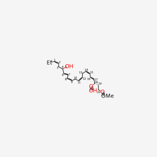 CC/C=C\C[C@@H](O)/C=C/C=C\C/C=C\C/C=C\C=C\[C@H](CCOOC)OO